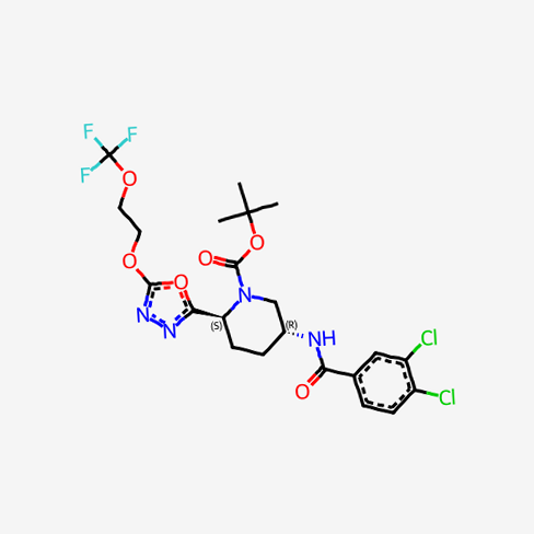 CC(C)(C)OC(=O)N1C[C@H](NC(=O)c2ccc(Cl)c(Cl)c2)CC[C@H]1c1nnc(OCCOC(F)(F)F)o1